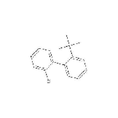 CC(C)(C)c1ccccc1-c1ccccc1Cl